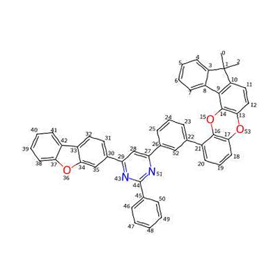 CC1(C)c2ccccc2-c2c1ccc1c2Oc2c(cccc2-c2cccc(-c3cc(-c4ccc5c(c4)oc4ccccc45)nc(-c4ccccc4)n3)c2)O1